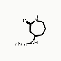 CCCCCNC1CCCNC(=O)C1